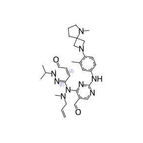 C=CCN(C)N(C(/C=C\C=O)=N/N(C)C(C)C)c1nc(Nc2ccc(N3CC4(CCCN4C)C3)c(C)c2)ncc1C=O